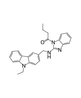 CCCC(=O)n1c(NCc2ccc3c(c2)c2ccccc2n3CC)nc2ccccc21